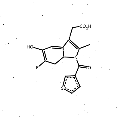 CC1=C(CC(=O)O)C2=CC(O)=C(F)CC2N1C(=O)c1ccsc1